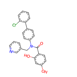 O=C(c1ccc(O)cc1O)N(Cc1cccnc1)c1ccc(-c2ccccc2Cl)cc1